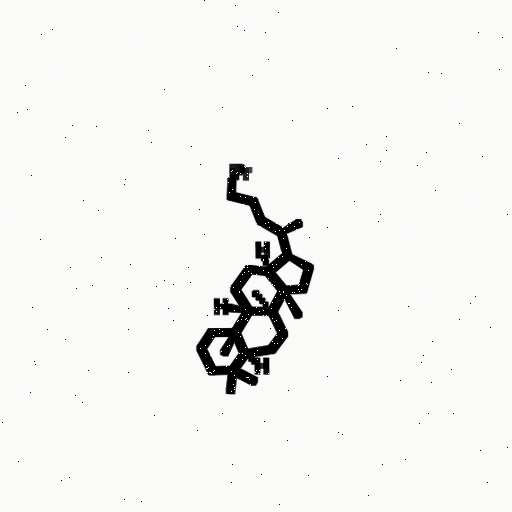 CC(C)CCC[C@@H](C)[C@H]1CC[C@@]2(C)[C@H]1CC[C@H]1[C@@]3(C)CCCC(C)(C)[C@@H]3CC[C@@]12C